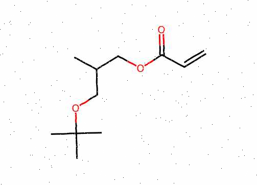 C=CC(=O)OCC(C)COC(C)(C)C